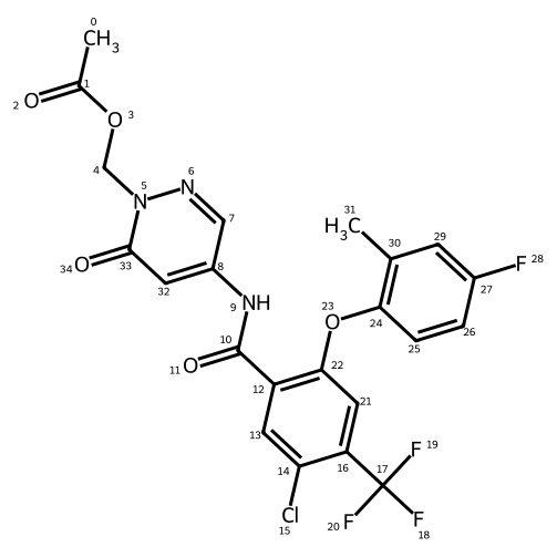 CC(=O)OCn1ncc(NC(=O)c2cc(Cl)c(C(F)(F)F)cc2Oc2ccc(F)cc2C)cc1=O